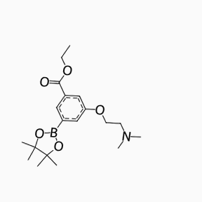 CCOC(=O)c1cc(OCCN(C)C)cc(B2OC(C)(C)C(C)(C)O2)c1